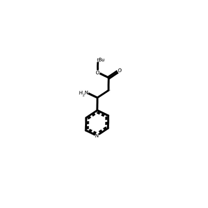 CC(C)(C)OC(=O)[CH]C(N)c1ccncc1